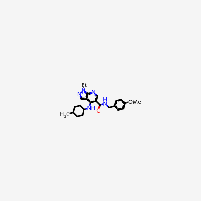 CCn1ncc2c(NC3CCC(C)CC3)c(C(=O)NCc3ccc(OC)cc3)cnc21